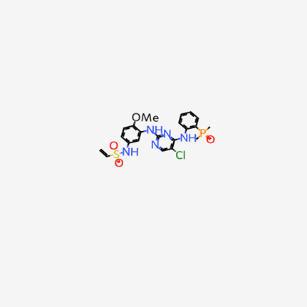 C=CS(=O)(=O)Nc1ccc(OC)c(Nc2ncc(Cl)c(Nc3ccccc3P(C)(C)=O)n2)c1